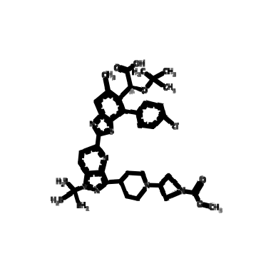 BC(B)(B)n1nc(C2CCN(C3CN(C(=O)OC)C3)CC2)c2nc(-c3nc4cc(C)c([C@H](OC(C)(C)C)C(=O)O)c(-c5ccc(Cl)cc5)c4s3)ccc21